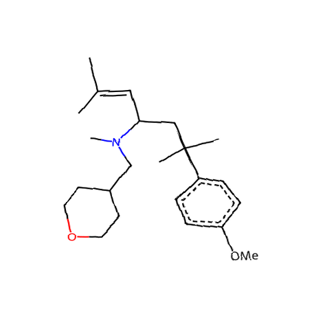 COc1ccc(C(C)(C)CC(C=C(C)C)N(C)CC2CCOCC2)cc1